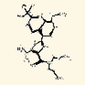 CCCN(CCC)C(=O)c1nc(-c2ccc(OC)c3nc(C(F)(F)F)ccc23)oc1[C@H](C)N